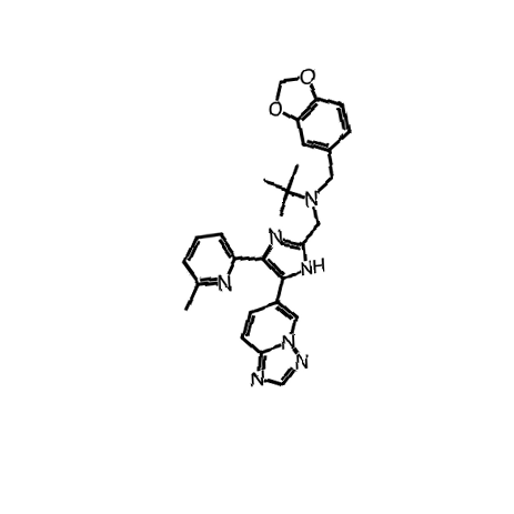 Cc1cccc(-c2nc(CN(Cc3ccc4c(c3)OCO4)C(C)(C)C)[nH]c2-c2ccc3ncnn3c2)n1